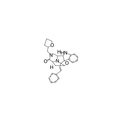 O=C1[C@@H]2CC3OC45c6ccccc6NC4[C@H](CN1CC1CCCO1)N2C35/C=C/c1ccccc1